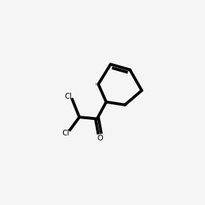 O=C(C(Cl)Cl)C1[C]C=CCC1